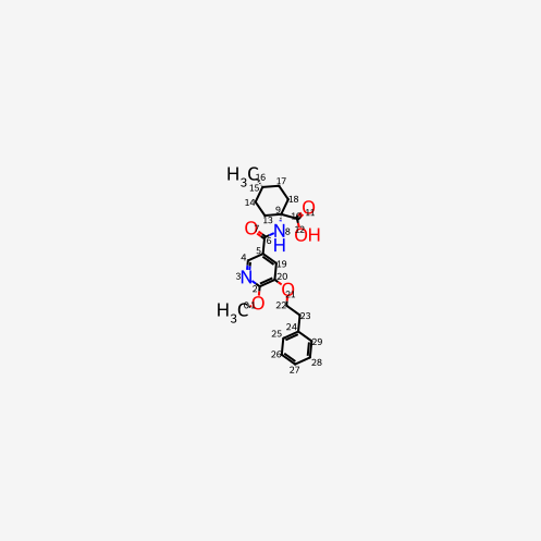 COc1ncc(C(=O)N[C@]2(C(=O)O)CC[C@H](C)CC2)cc1OCCc1ccccc1